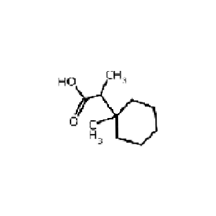 CC(C(=O)O)C1(C)CCCCC1